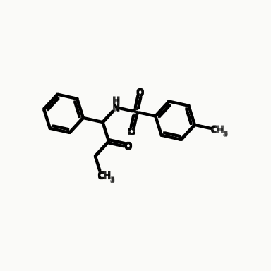 CCC(=O)C(NS(=O)(=O)c1ccc(C)cc1)c1ccccc1